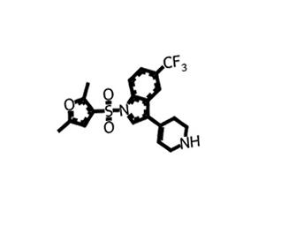 Cc1cc(S(=O)(=O)n2cc(C3=CCNCC3)c3cc(C(F)(F)F)ccc32)c(C)o1